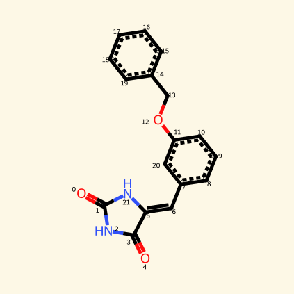 O=C1NC(=O)C(=Cc2cccc(OCc3ccccc3)c2)N1